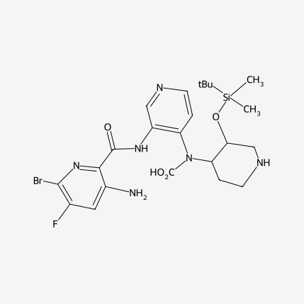 CC(C)(C)[Si](C)(C)OC1CNCCC1N(C(=O)O)c1ccncc1NC(=O)c1nc(Br)c(F)cc1N